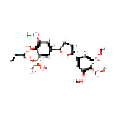 CCCOc1c(O)cc([C@@H]2CC[C@@H](c3cc(OC)c(OC)c(OC)c3)O2)cc1S(C)(=O)=O